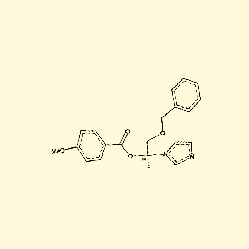 COc1ccc(C(=O)O[C@@](C)(COCc2ccccc2)n2ccnc2)cc1